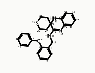 c1ccc(Oc2ccccc2CNC2=Nc3ccccc3NC23CCSCC3)cc1